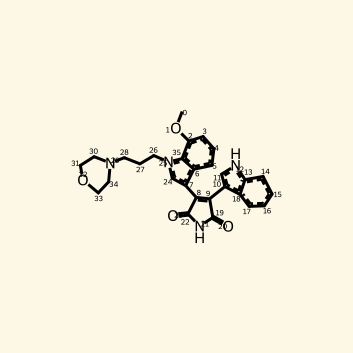 COc1cccc2c(C3=C(c4c[nH]c5ccccc45)C(=O)NC3=O)cn(CCCN3CCOCC3)c12